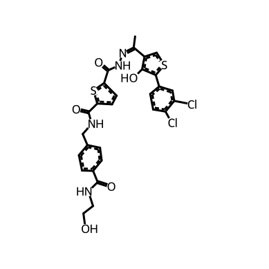 CC(=NNC(=O)c1ccc(C(=O)NCc2ccc(C(=O)NCCO)cc2)s1)c1csc(-c2ccc(Cl)c(Cl)c2)c1O